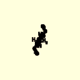 CC(C)(c1ccc(OC(=O)NCc2cccc(CN=C=O)c2)cc1)c1ccc(OC(=S)NCc2cccc(CN=C=O)c2)cc1